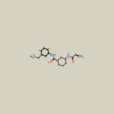 C=CC(=O)NC1CCCC(C(=O)Nc2cccc(CC)c2)C1